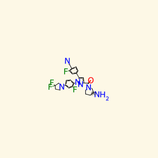 N#Cc1ccc(-c2cc(C(=O)N3CCC[C@@H](N)C3)nn2-c2ccc(N3CCC(F)(F)C3)cc2F)cc1F